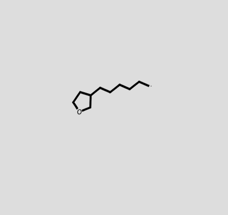 [CH2]CCCCCC1CCOC1